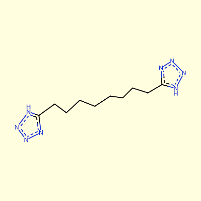 C(CCCCc1nnn[nH]1)CCCc1nnn[nH]1